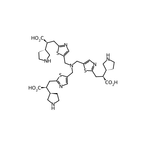 O=C(O)[C@@H](Cc1ncc(CN(Cc2cnc(C[C@H](C(=O)O)[C@H]3CCNC3)s2)Cc2cnc(C[C@H](C(=O)O)[C@H]3CCNC3)s2)s1)[C@H]1CCNC1